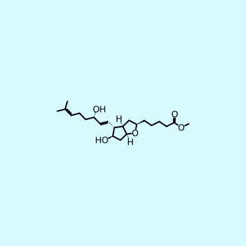 COC(=O)CCCC[C@@H]1C[C@@H]2[C@@H](/C=C/[C@@H](O)CCC=C(C)C)[C@H](O)C[C@@H]2O1